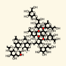 CC(=O)NC1C(O[C@@H]2C(OC=O)OC(OC3C(NC(C)=O)C(OCC4OC(O[C@@H]5C(COC6OC(C(=O)O)[C@H](O)C(O)C6N)OC(O[C@H]6C(C(O)CO)OC(C)C(O)C6OC6OC(C(O)COC7OC(CO)[C@@H](O)C(O)C7N)[C@@H](O)C(O)C6OC6OC(C(=O)O)[C@@H](O)C(O)C6O)C(O)C5O)C(N)C(O)[C@@H]4OC4OC(C(O)CO)[C@@H](O)C(O)C4O)OC(C)[C@H]3CN)C(NC(C)=O)C2C)OC(CO)[C@@H](O)C1O